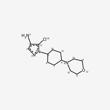 Nc1cnn(C2CCC(N3CCOCC3)CC2)c1Cl